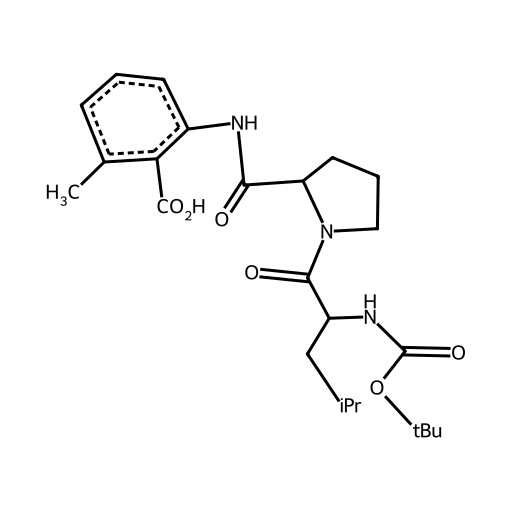 Cc1cccc(NC(=O)C2CCCN2C(=O)C(CC(C)C)NC(=O)OC(C)(C)C)c1C(=O)O